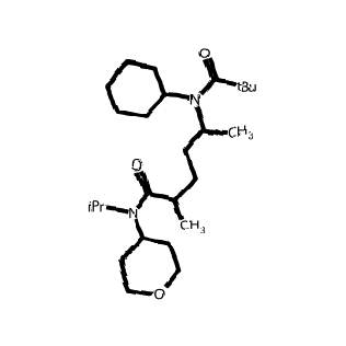 CC(CCC(C)N(C(=O)C(C)(C)C)C1CCCCC1)C(=O)N(C(C)C)C1CCOCC1